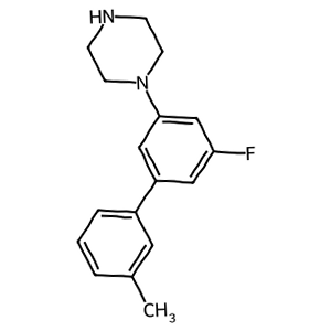 Cc1cccc(-c2cc(F)cc(N3CCNCC3)c2)c1